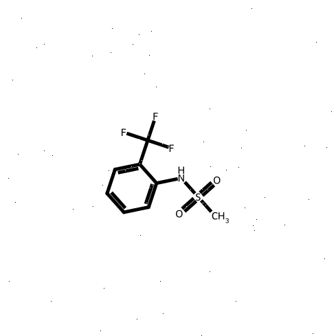 CS(=O)(=O)Nc1ccccc1C(F)(F)F